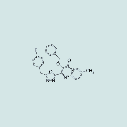 Cc1ccc2nc(-c3nnc(Cc4ccc(F)cc4)o3)c(OCc3ccccc3)c(=O)n2c1